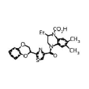 CCC1CN(C(=O)c2csc(C3COc4ccccc4O3)n2)c2cc(C)c(C)cc2N1C(=O)O